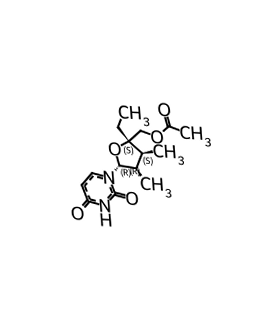 CC[C@]1(COC(C)=O)O[C@@H](n2ccc(=O)[nH]c2=O)[C@H](C)[C@@H]1C